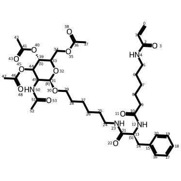 C=CC(=O)NCCCCCC(=O)N[C@@H](Cc1ccccc1)C(=O)NCCCCCCO[C@@H]1OC(COC(C)=O)[C@@H](OC(C)=O)C(OC(C)=O)C1NC(C)=O